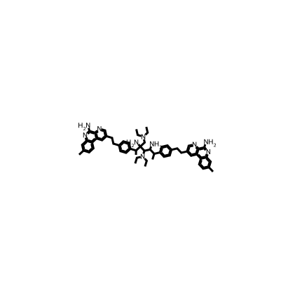 CCN(CC)CC(N)(C(C)c1ccc(CCc2cnc3c(N)nc4cc(C)ccc4c3c2)cc1)C(C(N)C(C)c1ccc(CCc2cnc3c(N)nc4cc(C)ccc4c3c2)cc1)N(CC)CC